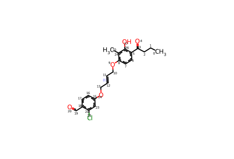 CCCC(=O)c1ccc(OC/C=C/COc2ccc(C=O)c(Cl)c2)c(C)c1O